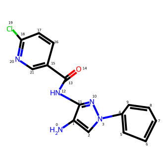 Nc1cn(-c2ccccc2)nc1NC(=O)c1ccc(Cl)nc1